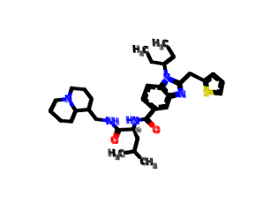 CCC(CC)n1c(Cc2cccs2)nc2cc(C(=O)N[C@@H](CC(C)C)C(=O)NCC3CCCN4CCCCC34)ccc21